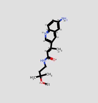 CCOC(C)(C)CCNC(=O)/C=C(\C)c1cnc2ccc(N)cc2c1